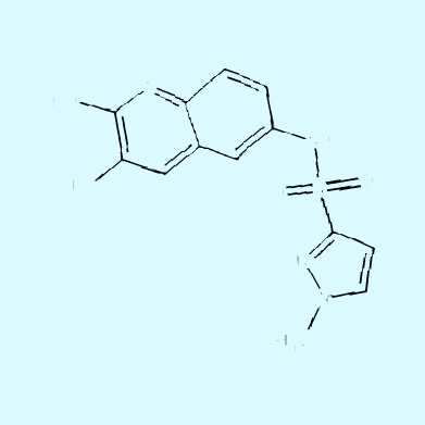 Cc1cc2cc(NS(=O)(=O)c3ccn(C)n3)ccc2nc1O